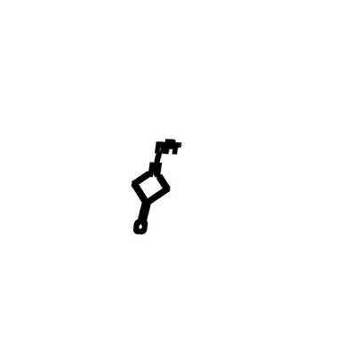 CCCN1CC(=O)C1